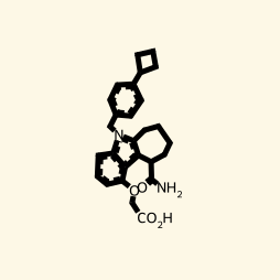 NC(=O)C1CCCCc2c1c1c(OCC(=O)O)cccc1n2Cc1ccc(C2CCC2)cc1